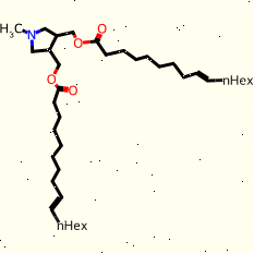 CCCCCCC=CCCCCCCCC(=O)OCC1CN(C)CC1COC(=O)CCCCCCCC=CCCCCCC